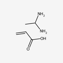 C=CC(=O)O.CC(N)N